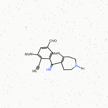 C#Cc1c(NC)cc(C=O)cc1C(=N)C1=C(NC)CCN(C(C)=O)CC1